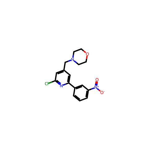 O=[N+]([O-])c1cccc(-c2cc(CN3CCOCC3)cc(Cl)n2)c1